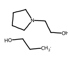 OCCN1CCCC1.[CH2]CCO